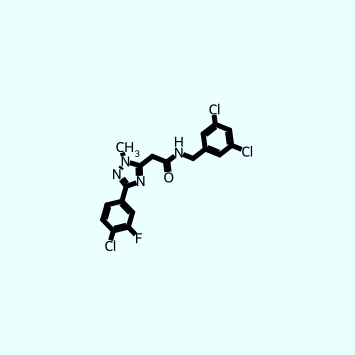 Cn1nc(-c2ccc(Cl)c(F)c2)nc1CC(=O)NCc1cc(Cl)cc(Cl)c1